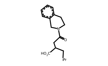 CC(C)CC(CC(=O)N1CCc2ccccc2C1)C(=O)O